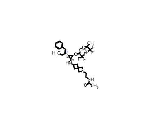 CC/C(=C\c1ccccc1)[C@@H]1C[C@H]1NC1CC2(C1)CN(CCNC(C)=O)C2.O=C(O)C(F)(F)F.O=C(O)C(F)(F)F